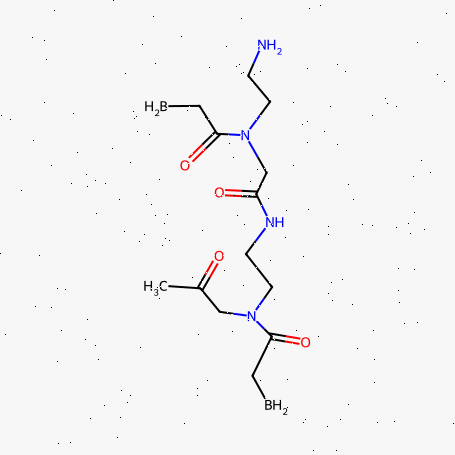 BCC(=O)N(CCNC(=O)CN(CCN)C(=O)CB)CC(C)=O